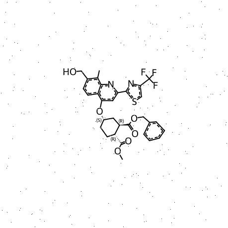 COC(=O)[C@@H]1CC[C@H](Oc2cc(-c3nc(C(F)(F)F)cs3)nc3c(C)c(CO)ccc23)C[C@H]1C(=O)OCc1ccccc1